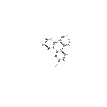 Fc1ccc(-c2ccc[c]c2-c2ccccc2)cc1